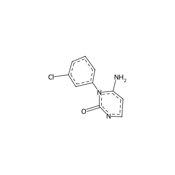 Nc1ccnc(=O)n1-c1cccc(Cl)c1